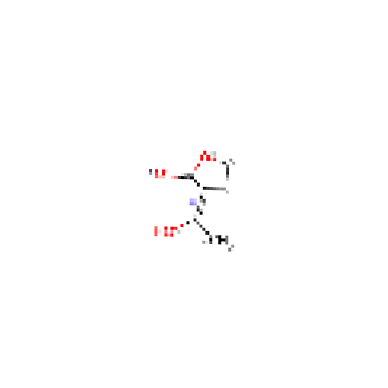 C/C(O)=C1\CCOC1=O